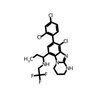 CCC(NCC(F)(F)F)c1cc(-c2ccc(Cl)cc2Cl)c(Cl)c2nc3n(c12)CCCN3